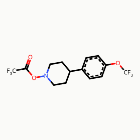 O=C(ON1CCC(c2ccc(OC(F)(F)F)cc2)CC1)C(F)(F)F